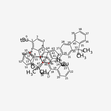 CC(C)(C)c1ccc2c(c1)C1(c3ccccc3Oc3ccc(-c4ccccc4N(c4ccc5c(c4)C(C)(C)c4ccccc4-5)c4ccc5c(c4)C(C)(C)c4ccccc4-5)cc31)c1cc(C(C)(C)C)ccc1-2